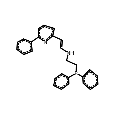 C(=C\c1cccc(-c2ccccc2)n1)/NCCP(c1ccccc1)c1ccccc1